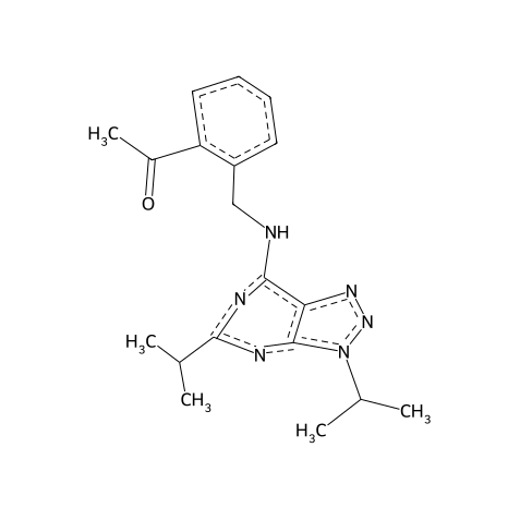 CC(=O)c1ccccc1CNc1nc(C(C)C)nc2c1nnn2C(C)C